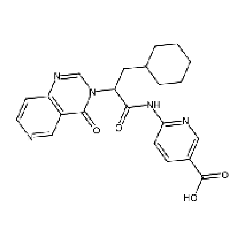 O=C(O)c1ccc(NC(=O)C(CC2CCCCC2)n2cnc3ccncc3c2=O)nc1